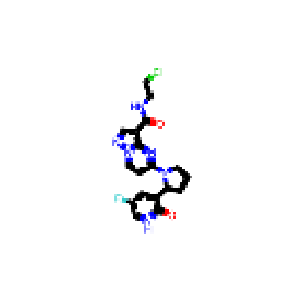 O=C(NCCCl)c1cnn2ccc(N3CCCC3c3cc(F)c[nH]c3=O)nc12